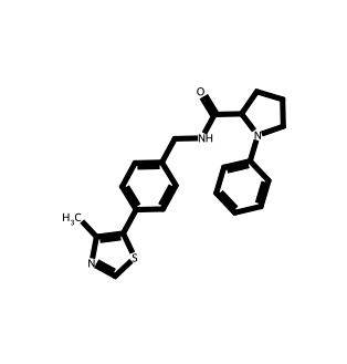 Cc1ncsc1-c1ccc(CNC(=O)C2CCCN2c2ccccc2)cc1